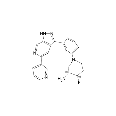 N[C@@H]1CN(c2cccc(-c3n[nH]c4cnc(-c5cccnc5)cc34)n2)CC[C@@H]1F